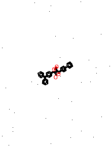 O=C1OC(c2ccc(C(c3ccccc3)c3ccccc3)cc2)=C2C(=O)OC(c3ccc(-c4ccccc4)cc3)=C12